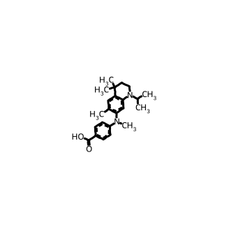 Cc1cc2c(cc1N(C)c1ccc(C(=O)O)cc1)N(C(C)C)CCC2(C)C